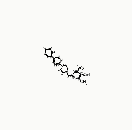 Cc1nc(CC2CCN(c3ncc(-c4ccccc4)cn3)CC2)nc([C]=O)c1O